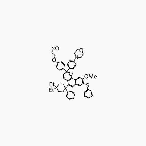 CCC1(CC)CCC2(CC1)c1ccccc1-c1c2c2c(c3cc(OC)c(Sc4ccccc4)cc13)OC(c1ccc(OCCN=O)cc1)(c1ccc(N3CCOCC3)cc1)C=C2